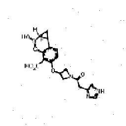 O=C(O)c1c(OC2CN(C(=O)Cc3c[nH]cn3)C2)ccc2c1OB(O)[C@@H]1CC21